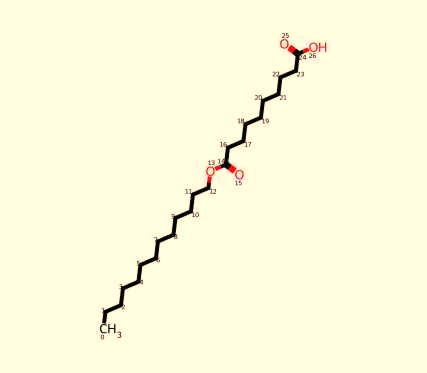 CCCCCCCCCCCCCOC(=O)CCCCCCCCC(=O)O